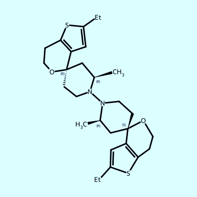 CCc1cc2c(s1)CCO[C@@]21CCN(N2CC[C@@]3(C[C@H]2C)OCCc2sc(CC)cc23)[C@H](C)C1